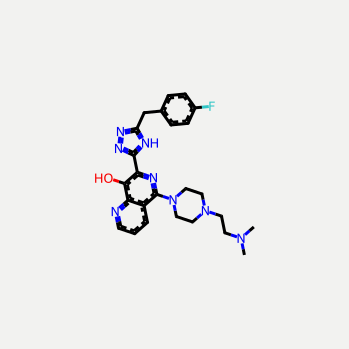 CN(C)CCN1CCN(c2nc(-c3nnc(Cc4ccc(F)cc4)[nH]3)c(O)c3ncccc23)CC1